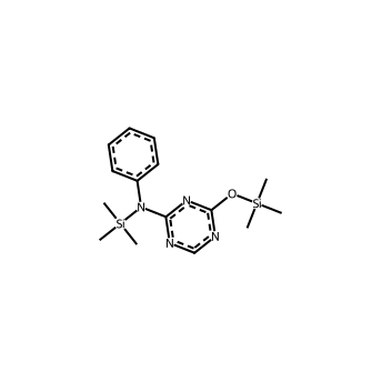 C[Si](C)(C)Oc1ncnc(N(c2ccccc2)[Si](C)(C)C)n1